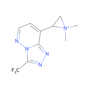 C[N+]1(C)CC1c1ccnn2c(C(F)(F)F)nnc12